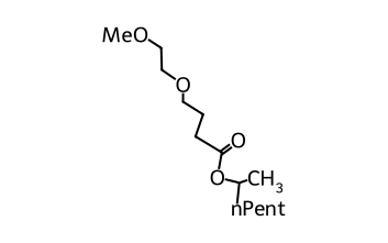 CCCCCC(C)OC(=O)CCCOCCOC